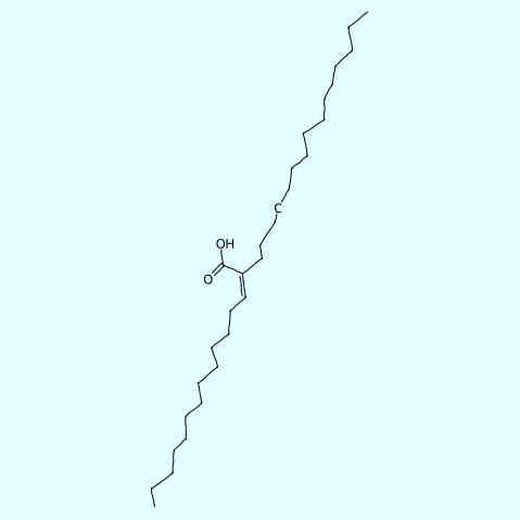 CCCCCCCCCCCCC=C(CCCCCCCCCCCCCCC)C(=O)O